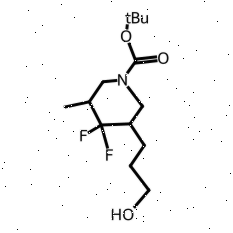 CC1CN(C(=O)OC(C)(C)C)CC(CCCO)C1(F)F